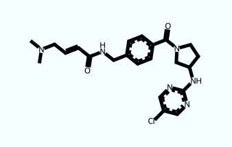 CN(C)C/C=C/C(=O)NCc1ccc(C(=O)N2CCC(Nc3ncc(Cl)cn3)C2)cc1